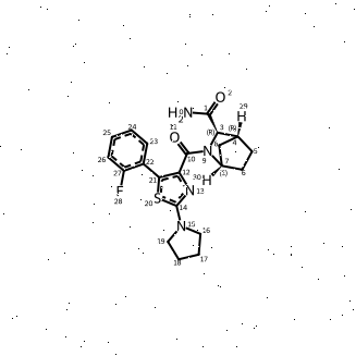 NC(=O)[C@H]1[C@@H]2CC[C@@H](C2)N1C(=O)c1nc(N2CCCC2)sc1-c1ccccc1F